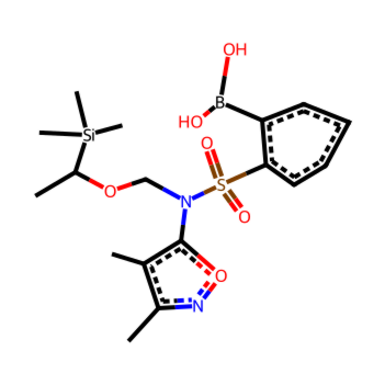 Cc1noc(N(COC(C)[Si](C)(C)C)S(=O)(=O)c2ccccc2B(O)O)c1C